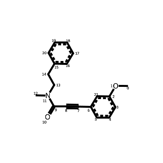 COc1cccc(C#CC(=O)N(C)CCc2ccccc2)c1